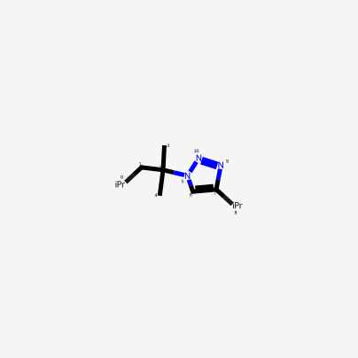 CC(C)CC(C)(C)n1cc(C(C)C)nn1